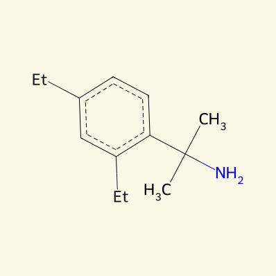 CCc1ccc(C(C)(C)N)c(CC)c1